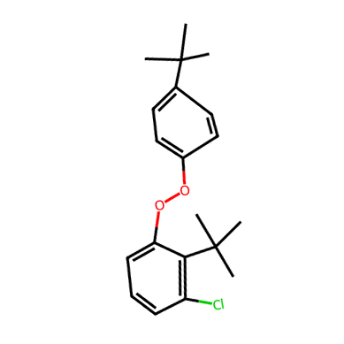 CC(C)(C)c1ccc(OOc2cccc(Cl)c2C(C)(C)C)cc1